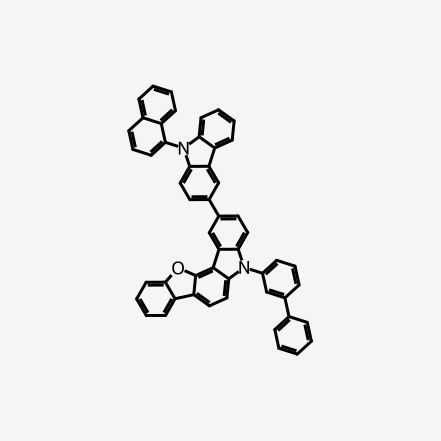 c1ccc(-c2cccc(-n3c4ccc(-c5ccc6c(c5)c5ccccc5n6-c5cccc6ccccc56)cc4c4c5oc6ccccc6c5ccc43)c2)cc1